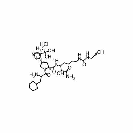 C#CCNC(=O)NCCCCC(NC(=O)[C@@H]1C[C@H](n2nncc2C(C)(C)O)CN1C(=O)C(N)CC1CCCCC1)C(O)C(N)=O.Cl